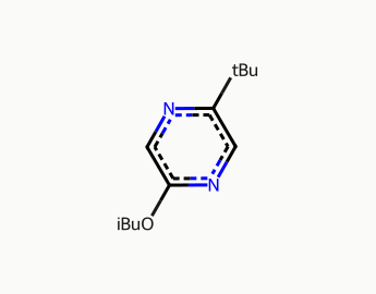 CC(C)COc1cnc(C(C)(C)C)cn1